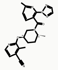 Cc1ccc(C(=O)N2C[C@H](Oc3nccc(C#N)c3C)CC[C@H]2C)c(-n2nccn2)n1